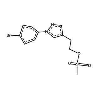 CS(=O)(=O)OCCc1cnn(-c2ccc(Br)cc2)c1